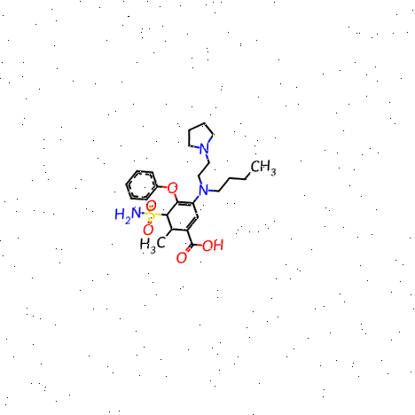 CCCCN(CCN1CCCC1)C1=C(Oc2ccccc2)C(S(N)(=O)=O)C(C)C(C(=O)O)=C1